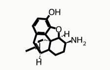 CN1CC[C@]23c4c5ccc(O)c4O[C@H]2[C@@H](N)CCC3[C@H]1C5